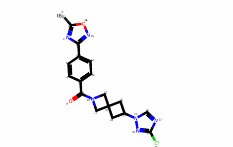 CC(C)(C)c1nc(-c2ccc(C(=O)N3CC4(CC(n5cnc(Cl)n5)C4)C3)cc2)no1